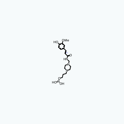 COc1cc(/C=C/C(=O)NCN2CCN(CCCON(O)O)CC2)ccc1O